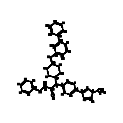 CC1C=C(c2ccc(C(C(=O)NCc3ccccc3)[C@H]3CC[C@H](Cc4nccc(-c5cccnc5)n4)CC3)cc2)C=N1